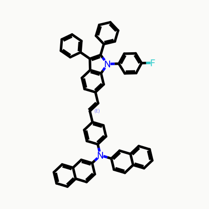 Fc1ccc(-n2c(-c3ccccc3)c(-c3ccccc3)c3ccc(/C=C/c4ccc(N(c5ccc6ccccc6c5)c5ccc6ccccc6c5)cc4)cc32)cc1